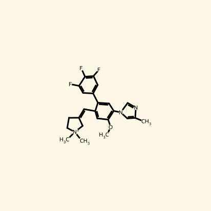 COc1cc(C=C2CC[N+](C)(C)C2)c(-c2cc(F)c(F)c(F)c2)cc1-n1cnc(C)c1